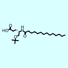 CCCCCCCCCCCCCC(=O)N[C@@H](CCC(=O)O)COC(C)(C)C